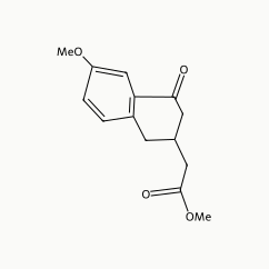 COC(=O)CC1CC(=O)c2cc(OC)ccc2C1